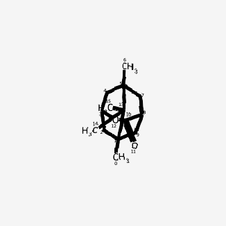 CC12CC3CC(C)(CC(C1)C(=O)O3)C2(C)C